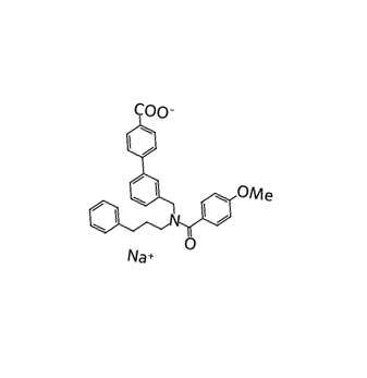 COc1ccc(C(=O)N(CCCc2ccccc2)Cc2cccc(-c3ccc(C(=O)[O-])cc3)c2)cc1.[Na+]